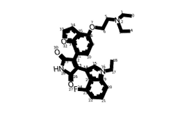 CCN(CC)CCOc1ccc(C2=C(c3cn(CC)c4cccc(F)c34)C(=O)NC2=O)c2occc12